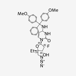 CC[C@@]1(CN=[N+]=[N-])O[C@@H](N2C=CC(NC(c3ccccc3)(c3ccc(OC)cc3)c3ccc(OC)cc3)NC2=O)[C@H](F)[C@@H]1O